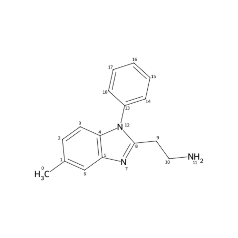 Cc1ccc2c(c1)nc(CCN)n2-c1ccccc1